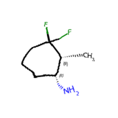 C[C@@H]1[C@H](N)CCCC1(F)F